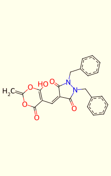 C=C1OC(=O)C(C=C2C(=O)N(Cc3ccccc3)N(Cc3ccccc3)C2=O)=C(O)O1